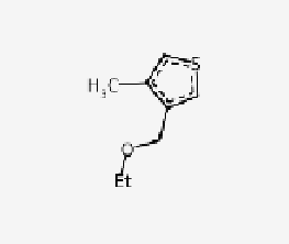 CCOCc1cscc1C